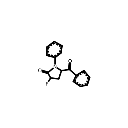 O=C(c1ccccc1)C1CC(F)C(=O)N1c1ccccc1